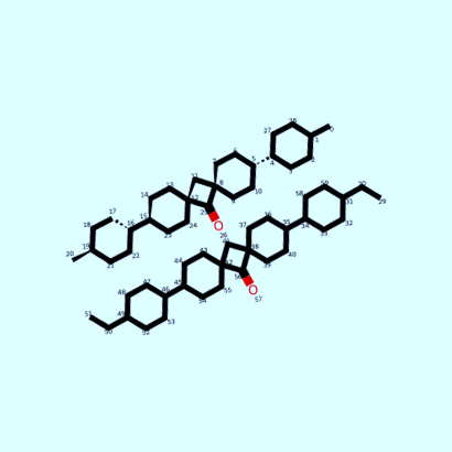 CC1CCC([C@H]2CC[C@]3(CC2)C[C@@]2(CC[C@H]([C@H]4CC[C@H](C)CC4)CC2)C3=O)CC1.CCC1CCC(C2CCC3(CC2)CC2(CCC(C4CCC(CC)CC4)CC2)C3=O)CC1